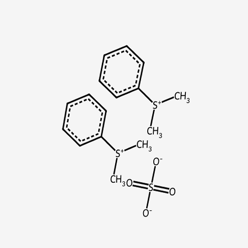 C[S+](C)c1ccccc1.C[S+](C)c1ccccc1.O=S(=O)([O-])[O-]